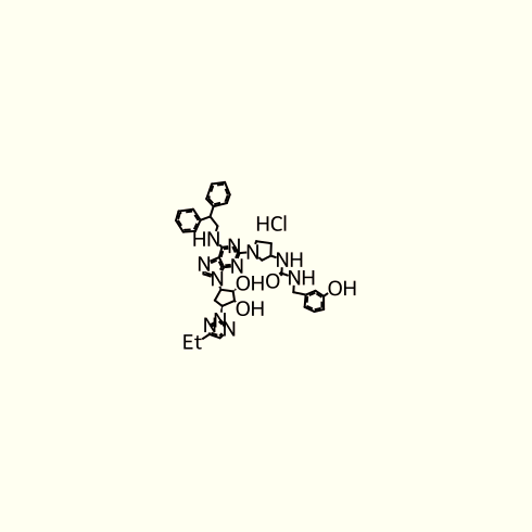 CCc1cnn([C@H]2C[C@@H](n3cnc4c(NCC(c5ccccc5)c5ccccc5)nc(N5CCC(NC(=O)NCc6cccc(O)c6)C5)nc43)[C@H](O)[C@@H]2O)n1.Cl